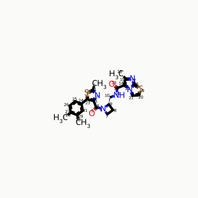 Cc1nc(C(=O)N2CC[C@H]2CNC(=O)c2c(C)nc3sccn23)c(-c2ccc(C)c(C)c2)s1